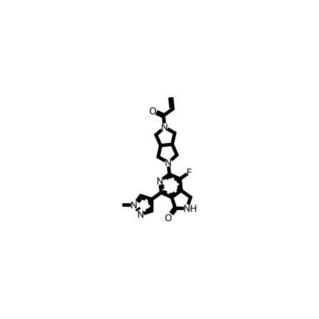 C=CC(=O)N1CC2CN(c3nc(-c4cnn(C)c4)c4c(c3F)CNC4=O)CC2C1